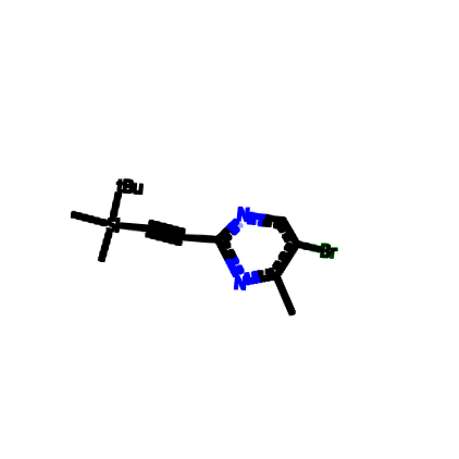 Cc1nc(C#C[Si](C)(C)C(C)(C)C)ncc1Br